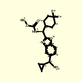 CC(C)(C)OC(=O)N[C@H](c1nc2cc(C(N)C3CC3)ccc2o1)C1CCC(F)(F)CC1